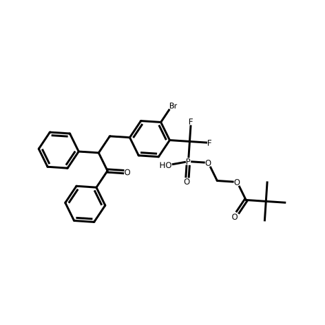 CC(C)(C)C(=O)OCOP(=O)(O)C(F)(F)c1ccc(CC(C(=O)c2ccccc2)c2ccccc2)cc1Br